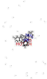 Cc1ccc(C(O)(c2ccccc2)C(C)NC(N)(C(C)C)C(O)(c2ccccc2)c2ccccc2)cc1